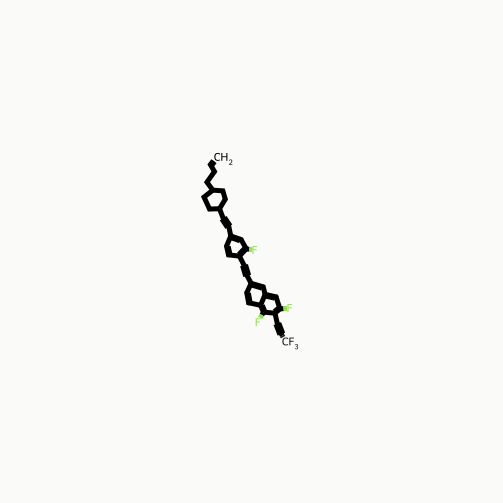 C=CCCC1CCC(C#Cc2ccc(C#Cc3ccc4c(F)c(C#CC(F)(F)F)c(F)cc4c3)c(F)c2)CC1